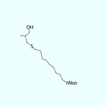 CCCCCCCCCCCCCCCCCCSCC(C)CO